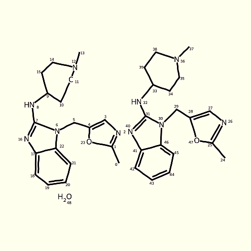 Cc1ncc(Cn2c(NC3CCN(C)CC3)nc3ccccc32)o1.Cc1ncc(Cn2c(NC3CCN(C)CC3)nc3ccccc32)o1.O